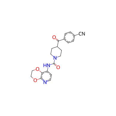 N#Cc1ccc(C(=O)C2CCN(C(=O)Nc3ccnc4c3OCCO4)CC2)cc1